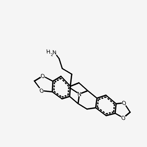 NCCCCN1C2Cc3cc4c(cc3C1Cc1cc3c(cc12)OCO3)OCO4